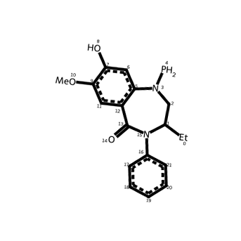 CCC1CN(P)c2cc(O)c(OC)cc2C(=O)N1c1ccccc1